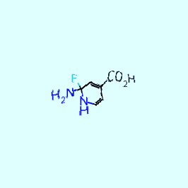 NC1(F)C=C(C(=O)O)C=CN1